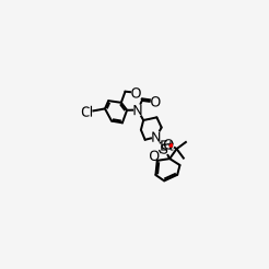 CCC(C)(C)C1(S(=O)(=O)N2CCC(N3C(=O)OCc4cc(Cl)ccc43)CC2)C=CC=CC1